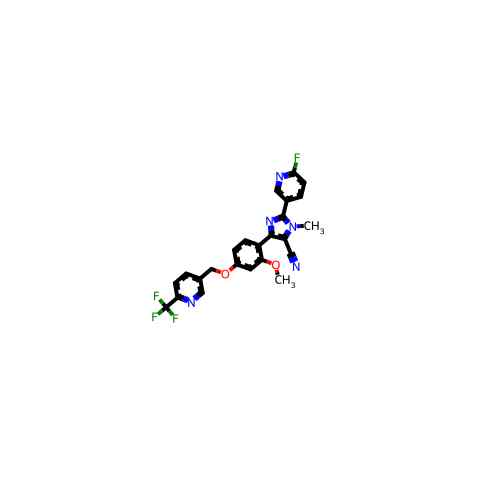 COc1cc(OCc2ccc(C(F)(F)F)nc2)ccc1-c1nc(-c2ccc(F)nc2)n(C)c1C#N